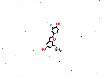 BCc1cc(O)cc2cc(-c3ccc(O)c(F)c3)oc12